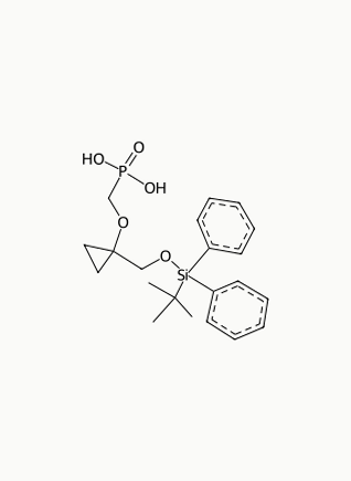 CC(C)(C)[Si](OCC1(OCP(=O)(O)O)CC1)(c1ccccc1)c1ccccc1